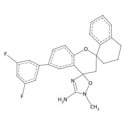 CN1OC2(CC3(CCCc4ccccc43)Oc3ccc(-c4cc(F)cc(F)c4)cc32)N=C1N